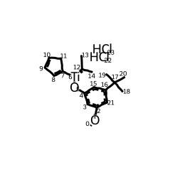 COc1cc([O][Ti]([C]2=CC=CC2)=[C](C)C)cc(C(C)(C)C)c1.Cl.Cl